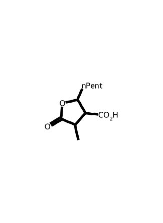 CCCCCC1OC(=O)C(C)C1C(=O)O